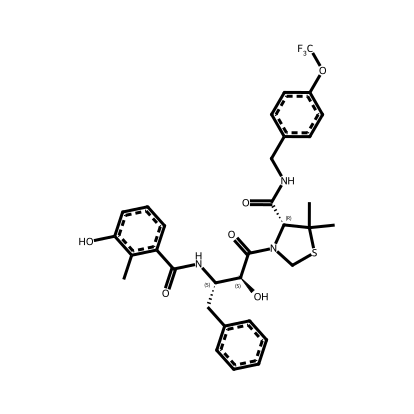 Cc1c(O)cccc1C(=O)N[C@@H](Cc1ccccc1)[C@H](O)C(=O)N1CSC(C)(C)[C@H]1C(=O)NCc1ccc(OC(F)(F)F)cc1